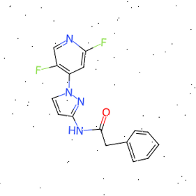 O=C(Cc1ccccc1)Nc1ccn(-c2cc(F)ncc2F)n1